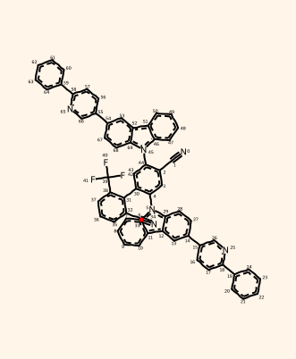 N#Cc1cc(-n2c3ccccc3c3cc(-c4ccc(-c5ccccc5)nc4)ccc32)c(-c2c(C#N)cccc2C(F)(F)F)cc1-n1c2ccccc2c2cc(-c3ccc(-c4ccccc4)nc3)ccc21